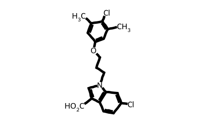 Cc1cc(OCCCn2cc(C(=O)O)c3ccc(Cl)cc32)cc(C)c1Cl